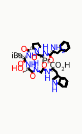 CC[C@H](C)[C@H](NC(=O)[C@@H]1CCCN1C(=O)[C@@H](NC(=O)[C@@H](N)Cc1ccccc1)C(C)C)C(=O)N[C@@H](CO)C(=O)NCC(=O)N[C@@H](Cc1c[nH]c2ccccc12)C(=O)O